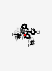 O=C(NCC(O)(C(F)(F)F)C(F)(F)F)N[C@@](Cc1ccccc1)(c1cc(F)cc(OC(F)(F)C(F)F)c1)c1ccc(Cl)cn1